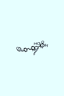 O=c1[nH]cnc(C(CNCCF)Cc2ccc(/C=C/c3ccc(CN4CCOCC4)cc3)cc2)c1O